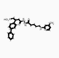 Cc1ccnc(NCCCCC(=O)NNC(=O)CC(CC(=O)O)c2ccc(-c3ccccc3)cc2)c1